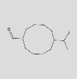 CC(I)C1CCCCC(N=O)CCCC1